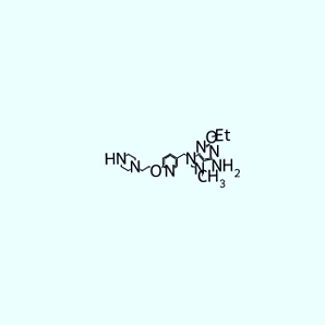 CCOc1nc(N)c2c(n1)N(Cc1ccc(OCCN3CCNCC3)nc1)CN2C